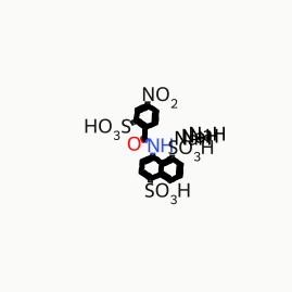 O=C(Nc1ccc(S(=O)(=O)O)c2cccc(S(=O)(=O)O)c12)c1ccc([N+](=O)[O-])cc1S(=O)(=O)O.[NaH].[NaH].[NaH]